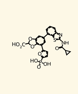 O=C(Nc1nc2cccc(-c3cc4c(c(-c5ccc(P(=O)(O)O)o5)c3)OC(C(=O)O)O4)c2s1)C1CC1